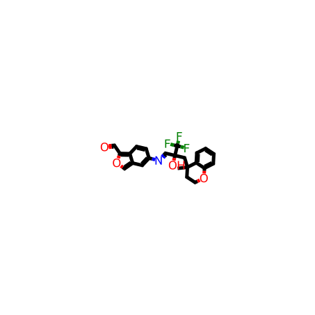 CC1(CC(O)(C=Nc2ccc3c(C=O)occ3c2)C(F)(F)F)CCOc2ccccc21